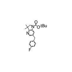 CC(C)(C)OC(=O)N1CC(C)(C)c2ncc(Cc3ccc(F)cc3)cc21